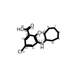 Cc1c(NC2CCCCCC2)cc(Cl)cc1C(=O)O